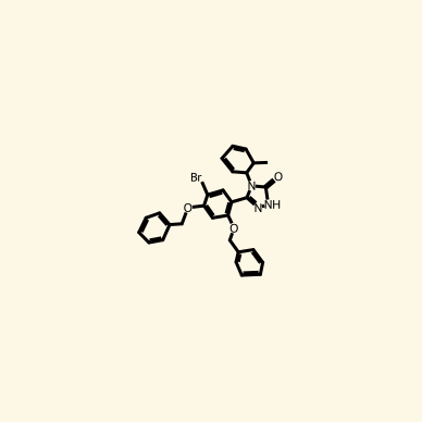 CC1C=CC=CC1n1c(-c2cc(Br)c(OCc3ccccc3)cc2OCc2ccccc2)n[nH]c1=O